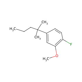 CCCC(C)(C)c1ccc(F)c(OC)c1